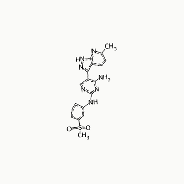 Cc1ccc2c(-c3cnc(Nc4cccc(S(C)(=O)=O)c4)nc3N)n[nH]c2n1